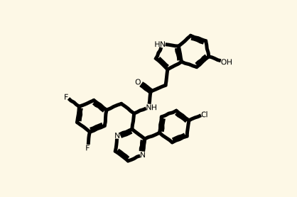 O=C(Cc1c[nH]c2ccc(O)cc12)NC(Cc1cc(F)cc(F)c1)c1nccnc1-c1ccc(Cl)cc1